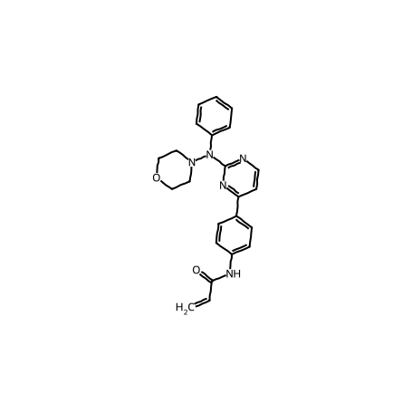 C=CC(=O)Nc1ccc(-c2ccnc(N(c3ccccc3)N3CCOCC3)n2)cc1